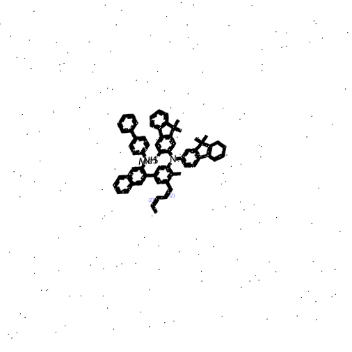 C/C=C\C=C/c1cc(-c2cc3ccccc3cc2Nc2ccc(-c3ccccc3)cc2)cc(N(c2ccc3c(c2)C(C)(C)C2=C3C=CCC2)c2cc3c(cc2SC)-c2ccccc2C3(C)C)c1C